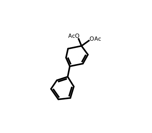 CC(=O)OC1(OC(C)=O)C=CC(c2ccccc2)=CC1